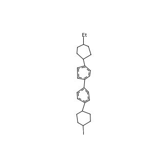 CCC1CCC(c2ccc(-c3ccc(C4CCC(I)CC4)cc3)cc2)CC1